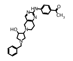 CC(=O)c1ccc(Nc2ncc3c(n2)CCN(C2CN(Cc4ccccc4)CC2O)C3)cc1